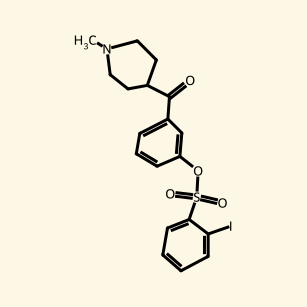 CN1CCC(C(=O)c2cccc(OS(=O)(=O)c3ccccc3I)c2)CC1